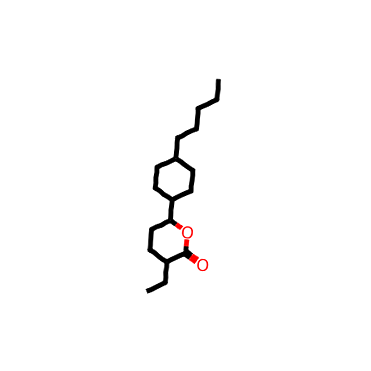 CCCCCC1CCC(C2CCC(CC)C(=O)O2)CC1